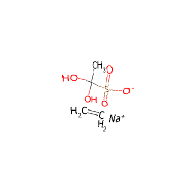 C=C.CC(O)(O)S(=O)(=O)[O-].[Na+]